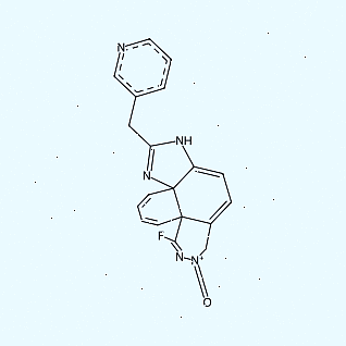 O=[N+]1CC2=CC=C3NC(Cc4cccnc4)=NC34C=CC=CC24C(F)=N1